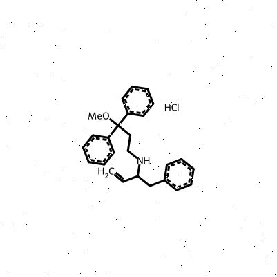 C=CC(Cc1ccccc1)NCCC(OC)(c1ccccc1)c1ccccc1.Cl